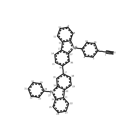 C#Cc1ccc(-n2c3ccccc3c3ccc(-c4ccc5c6ccccc6n(-c6ccccc6)c5c4)cc32)cc1